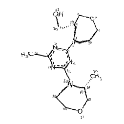 Cc1nc(N2CCOC[C@H]2CO)nc(N2CCOC[C@H]2C)n1